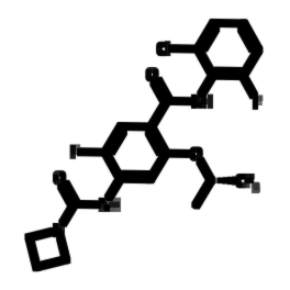 C[C@H](Oc1cc(NC(=O)N2CCC2)c(F)cc1C(=O)Nc1c(F)cccc1Cl)C(F)(F)F